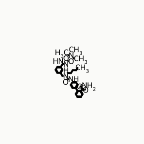 CCCCCN(Cc1cccc(C(=N)NC(=O)OC(C)N(CC)CC)c1)C(=O)Nc1ccc(-c2ccccc2S(N)(=O)=O)cc1